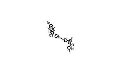 COc1cc2c(N[C@H](C)c3cccc(Br)c3)nc(C)nc2cc1OC1CCN(CCCCN2CCC(c3cc(F)cc4c3CN(C3CCC(=O)NC3=O)C4=O)CC2)CC1